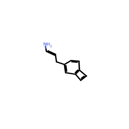 NC=CCc1ccc2c(c1)C=C2